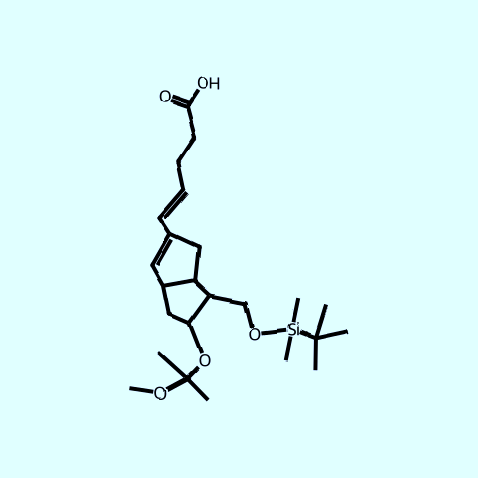 COC(C)(C)OC1CC2C=C(C=CCCC(=O)O)CC2C1CO[Si](C)(C)C(C)(C)C